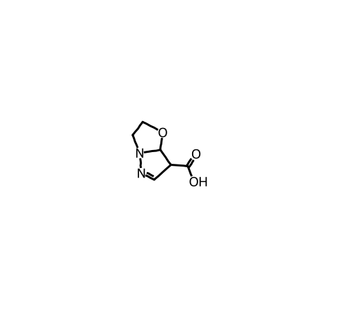 O=C(O)C1C=NN2CCOC12